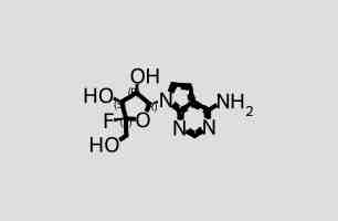 Nc1ncnc2c1ccn2[C@@H]1O[C@](F)(CO)[C@@H](O)[C@H]1O